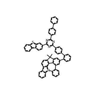 CC1(C)c2cc(-c3ccccc3-c3ccc(-c4nc(-c5ccc(-c6ccccc6)cc5)nc(-c5ccc6c(c5)sc5ccccc56)n4)cc3)cc3c2-c2c1ccc1c4ccccc4n(c21)-c1ccccc1-3